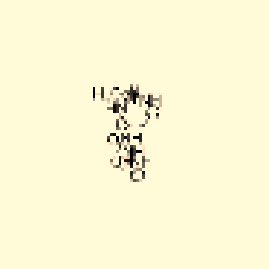 Cc1cnc2nc1Nc1ccc(NC(=O)[C@H](CO)NC(=O)Nc3ccccc3)c(c1)CCc1cccc(c1)N2